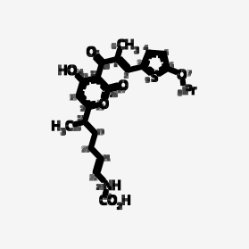 CC(=Cc1ccc(OC(C)C)s1)C(=O)c1c(O)cc(C(C)CC/C=C/NC(=O)O)oc1=O